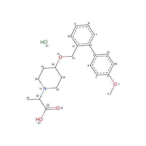 COc1ccc(-c2ccccc2COC2CCN(C(C)C(=O)O)CC2)cc1.Cl